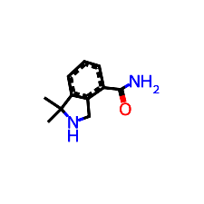 CC1(C)NCc2c(C(N)=O)cccc21